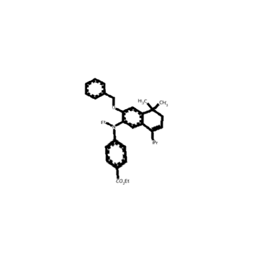 CCOC(=O)c1ccc(N(CC)c2cc3c(cc2OCc2ccccc2)C(C)(C)CC=C3C(C)C)cc1